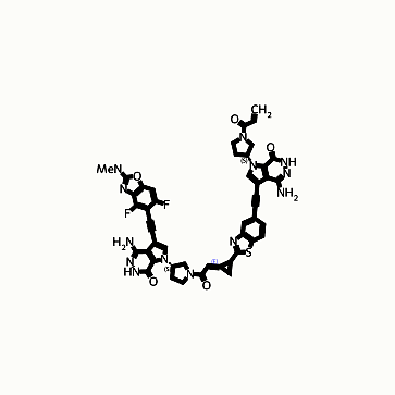 C=CC(=O)N1CC[C@H](n2cc(C#Cc3ccc4sc(C5C/C5=C\C(=O)N5CC[C@H](n6cc(C#Cc7c(F)cc8oc(NC)nc8c7F)c7c(N)n[nH]c(=O)c76)C5)nc4c3)c3c(N)n[nH]c(=O)c32)C1